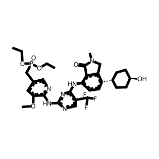 CCOP(=O)(Cc1cnc(Nc2ncc(C(F)(F)F)c(Nc3ccc([C@H]4CC[C@H](O)CC4)c4c3C(=O)N(C)C4)n2)c(OC)c1)OCC